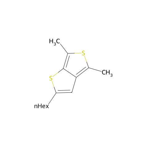 CCCCCCc1cc2c(C)sc(C)c2s1